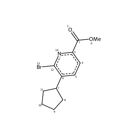 COC(=O)c1ccc(C2CCCC2)c(Br)n1